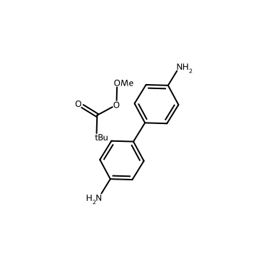 COOC(=O)C(C)(C)C.Nc1ccc(-c2ccc(N)cc2)cc1